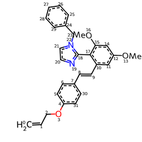 C=CCOc1ccc(C=Cc2cc(OC)cc(OC)c2-c2nccn2Cc2ccccc2)cc1